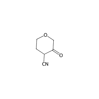 N#CC1CCOCC1=O